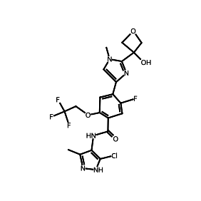 Cc1n[nH]c(Cl)c1NC(=O)c1cc(F)c(-c2cn(C)c(C3(O)COC3)n2)cc1OCC(F)(F)F